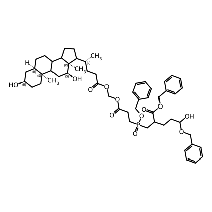 C[C@H](CCC(=O)OCOC(=O)CCP(=O)(CC(CCC(O)OCc1ccccc1)C(=O)OCc1ccccc1)OCc1ccccc1)C1CCC2C3CC[C@@H]4C[C@H](O)CC[C@]4(C)C3C[C@H](O)[C@@]21C